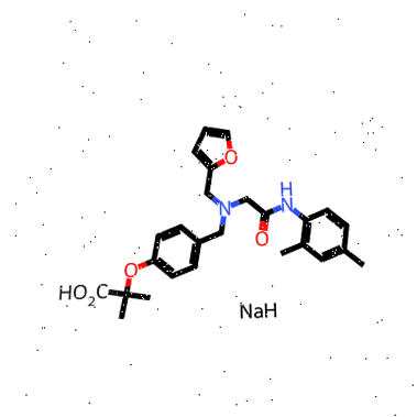 Cc1ccc(NC(=O)CN(Cc2ccc(OC(C)(C)C(=O)O)cc2)Cc2ccco2)c(C)c1.[NaH]